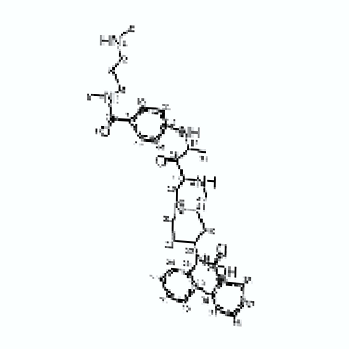 CNCCCN(C)C(=O)c1ccc(N[C@@H](C)C(=O)C(CN2CCC(N(C(=O)O)c3ccccc3-c3ccccc3)CC2)NC)cc1